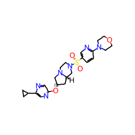 O=S(=O)(c1ccc(N2CCOCC2)nc1)N1CCN2C[C@@H](Oc3cnc(C4CC4)cn3)C[C@H]2C1